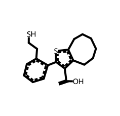 C=C(O)c1c(-c2ccccc2CCS)sc2c1CCCCCC2